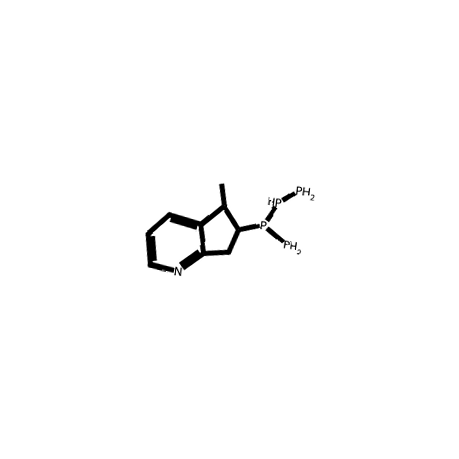 CC1c2cccnc2CC1P(P)PP